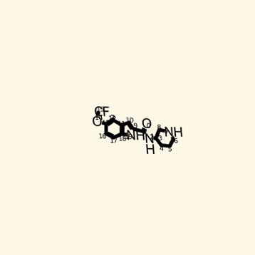 O=C(NC1CCCNC1)c1cc2cc(OC(F)(F)F)ccc2[nH]1